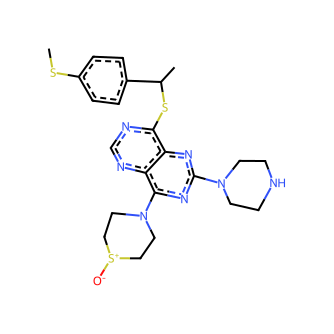 CSc1ccc(C(C)Sc2ncnc3c(N4CC[S+]([O-])CC4)nc(N4CCNCC4)nc23)cc1